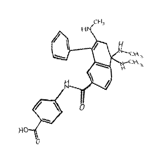 CNC1=C(c2ccccc2)c2cc(C(=O)Nc3ccc(C(=O)O)cc3)ccc2C(NC)(NC)C1